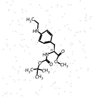 CCNc1ccc(C[C@H](NC(=O)OC(C)(C)C)C(=O)OC)cc1